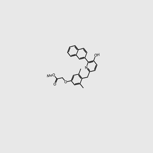 COC(=O)COc1cc(C)c(Cc2ccc(O)c(-c3ccc4ccccc4c3)n2)c(C)c1